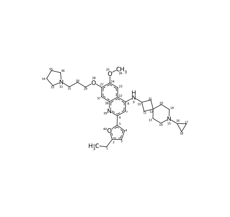 CCc1ccc(-c2cc(NC3CC4(CCN(C5CC5)CC4)C3)c3cc(OC)c(OCCCN4CCCC4)cc3n2)o1